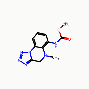 CN1Cc2nnnn2-c2cccc(NC(=O)OC(C)(C)C)c21